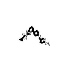 Cc1ccc(COc2ccc(-c3cccc4nc(NC(=O)C5CC5)nn34)cc2)cn1